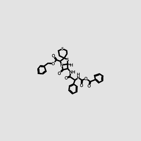 O=C(NC(C(=O)NC1C(=O)N2C(C(=O)OCc3ccccc3)C3(CCSCC3)S[C@@H]12)c1ccccc1)OC(=O)c1ccccc1